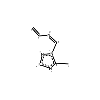 C=C/N=C\n1nnnc1C